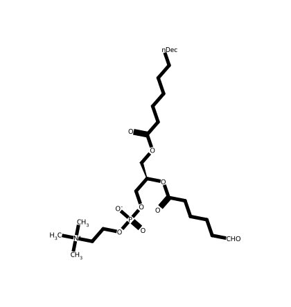 CCCCCCCCCCCCCCCC(=O)OC[C@H](COP(=O)([O-])OCC[N+](C)(C)C)OC(=O)CCCCC=O